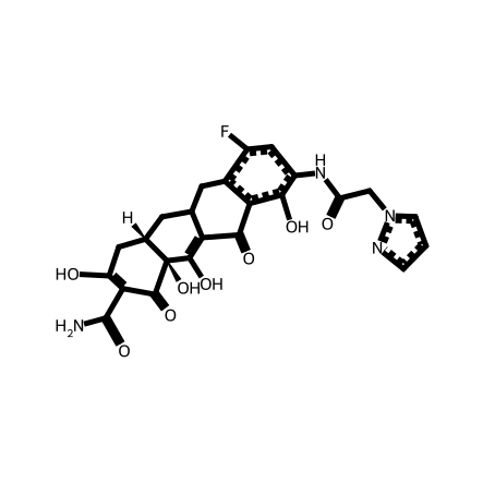 NC(=O)C1=C(O)C[C@@H]2CC3Cc4c(F)cc(NC(=O)Cn5cccn5)c(O)c4C(=O)C3=C(O)[C@]2(O)C1=O